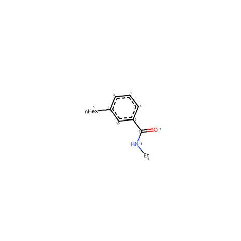 CCCCCCc1cccc(C(=O)NCC)c1